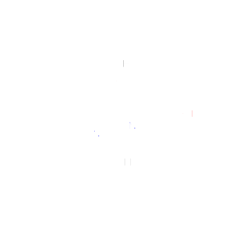 CC[C@H]1CO[C@]2(C)Cn3cc(C(=O)O)c(=O)c(OC)c3C(=O)N12